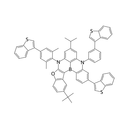 Cc1cc(-c2csc3ccccc23)cc(C)c1N1c2cc(C(C)C)cc3c2B(c2ccc(-c4csc5ccccc45)cc2N3c2cccc(-c3csc4ccccc34)c2)c2c1oc1ccc(C(C)(C)C)cc21